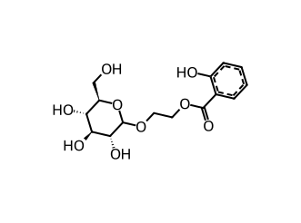 O=C(OCCOC1O[C@H](CO)[C@@H](O)[C@H](O)[C@H]1O)c1ccccc1O